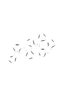 c1ccc2c(c1)oc1cccc(-n3c4ccccc4c4ccc5c(c6ccccc6n5-c5cccc6c5sc5ccccc56)c43)c12